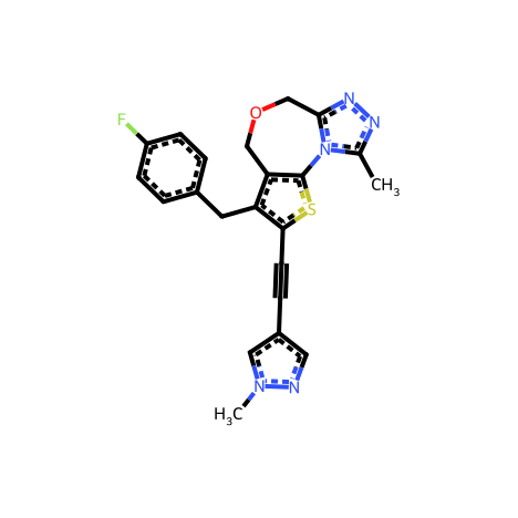 Cc1nnc2n1-c1sc(C#Cc3cnn(C)c3)c(Cc3ccc(F)cc3)c1COC2